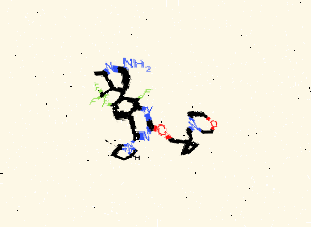 Cc1nc(N)cc(-c2c(F)cc3c(N4C[C@H]5CC[C@@](C)(C4)N5)nc(OCC4(CN5CCOCC5)CC4)nc3c2F)c1C(F)(F)F